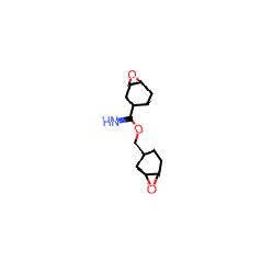 N=C(OCC1CCC2OC2C1)C1CCC2OC2C1